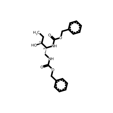 CC[C@H](O)[C@@H](CNC(=O)OCc1ccccc1)NC(=O)OCc1ccccc1